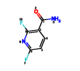 NC(=O)c1ccc(F)nc1F